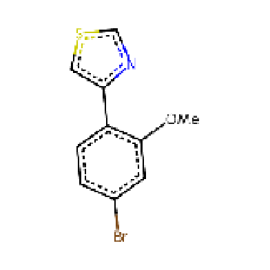 COc1cc(Br)ccc1-c1cscn1